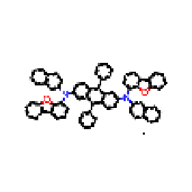 c1ccc(-c2c3ccc(N(c4ccc5ccccc5c4)c4cccc5c4oc4ccccc45)cc3c(-c3ccccc3)c3ccc(N(c4ccc5ccccc5c4)c4cccc5c4oc4ccccc45)cc23)cc1